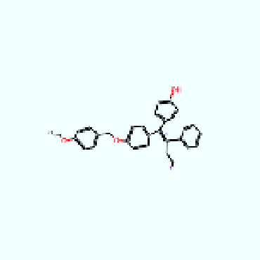 COc1ccc(COc2ccc(/C(=C(\CCI)c3ccccc3)c3ccc(O)cc3)cc2)cc1